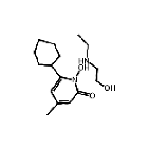 CCNCCO.Cc1cc(C2CCCCC2)n(O)c(=O)c1